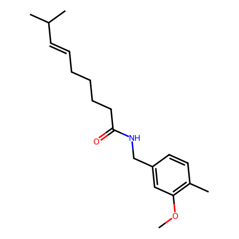 COc1cc(CNC(=O)CCCC/C=C/C(C)C)ccc1C